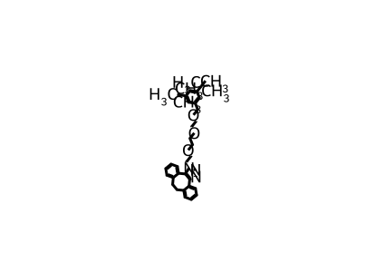 CC(C)(C)c1cc(COCCOCCOCCn2nnc3c2-c2ccccc2CCc2ccccc2-3)cc(C(C)(C)C)c1